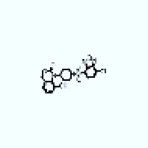 Cc1cccc2c1N(C1CCN(S(=O)(=O)c3ccc(Cl)c4nonc34)CC1)C(=O)OC2